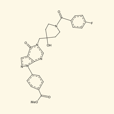 COC(=O)c1ccc(-n2ncc3c(=O)n(CC4(O)CCN(C(=O)c5ccc(F)cc5)CC4)cnc32)cc1